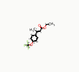 CCOC(=O)/C=C(\C)c1ccc(OC(F)(F)F)cc1